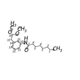 CCCCCCCC(=O)Nc1cccc(CC(OC)OC)c1